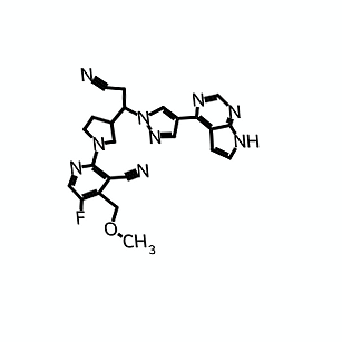 COCc1c(F)cnc(N2CCC(C(CC#N)n3cc(-c4ncnc5[nH]ccc45)cn3)C2)c1C#N